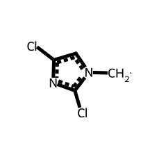 [CH2]n1cc(Cl)nc1Cl